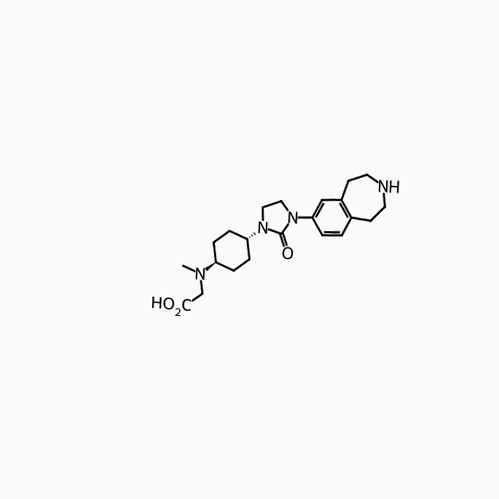 CN(CC(=O)O)[C@H]1CC[C@H](N2CCN(c3ccc4c(c3)CCNCC4)C2=O)CC1